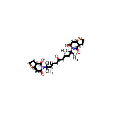 CC(C)(CCCC(=O)CCCC(C)(C)N1C(=O)C=C2SCCC2C1=O)N1C(=O)C=C2SCCC2C1=O